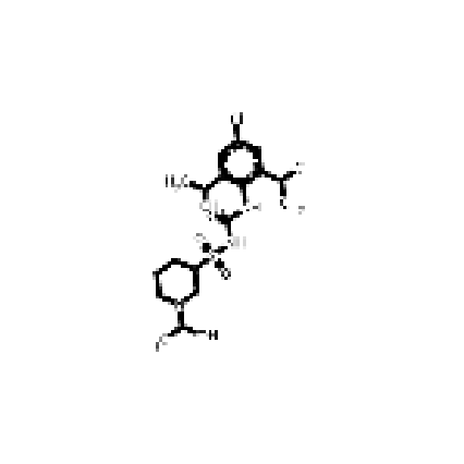 CC(C)c1cc(Cl)cc(C(C)C)c1NC(=O)NS(=O)(=O)C1CCCN(C(C)O)C1